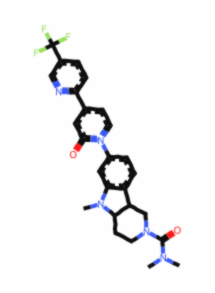 CN(C)C(=O)N1CCC2C(C1)c1ccc(-n3ccc(-c4ccc(C(F)(F)F)cn4)cc3=O)cc1N2C